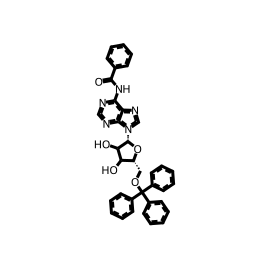 O=C(Nc1ncnc2c1ncn2[C@@H]1O[C@H](COC(c2ccccc2)(c2ccccc2)c2ccccc2)C(O)C1O)c1ccccc1